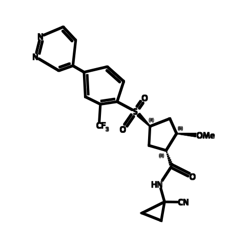 CO[C@@H]1C[C@H](S(=O)(=O)c2ccc(-c3ccnnc3)cc2C(F)(F)F)C[C@H]1C(=O)NC1(C#N)CC1